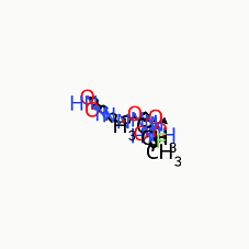 Cc1ccc(Nc2c3c(=O)n(C4CC4)c(=O)n(-c4cccc(NC(=O)C5CCN(CC6CCN(c7ccc(C8CCC(=O)NC8=O)cn7)CC6)CC5)c4)c3c(C)c(=O)n2C)c(F)c1